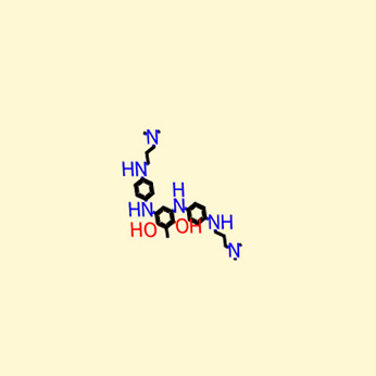 Cc1c(O)c(Nc2ccc(NCCCN(C)C)cc2)cc(Nc2ccc(NCCCN(C)C)cc2)c1O